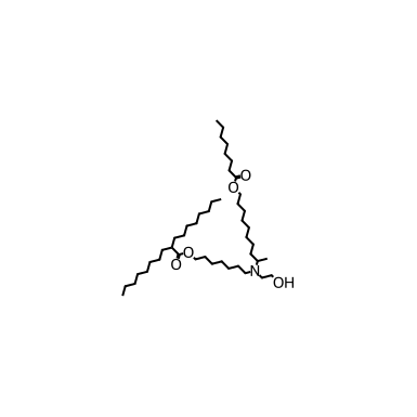 CCCCCCCCC(CCCCCCCC)C(=O)OCCCCCCCN(CCO)C(C)CCCCCCCCOC(=O)CCCCCCC